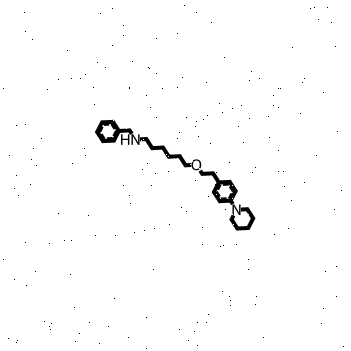 c1ccc(CNCCCCCCOCCc2ccc(N3CCCCC3)cc2)cc1